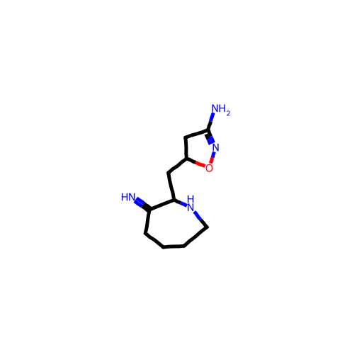 N=C1CCCCNC1CC1CC(N)=NO1